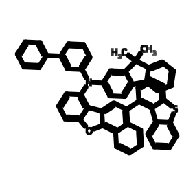 CC1(C)c2ccccc2-c2ccc(N(c3cccc(-c4ccccc4)c3)c3cccc4oc5c6ccccc6c(-c6cccc7sc8ccccc8c67)cc5c34)cc21